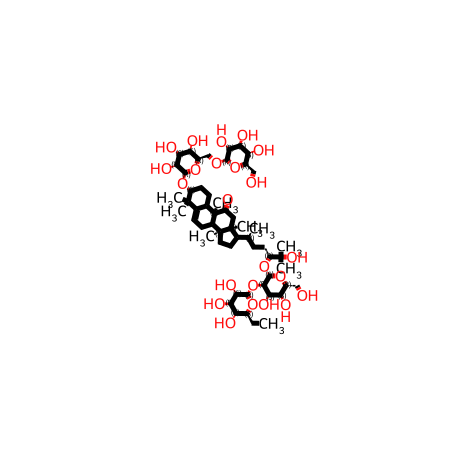 CC[C@@H]1O[C@H](O[C@H]2[C@H](O[C@H](CC[C@@H](C)C3CC[C@@]4(C)C5CC=C6C(CC[C@H](O[C@@H]7O[C@H](CO[C@@H]8O[C@H](CO)[C@@H](O)[C@H](O)[C@H]8O)[C@@H](O)[C@H](O)[C@H]7O)C6(C)C)[C@]5(C)C(=O)C[C@]34C)C(C)(C)O)O[C@H](CO)[C@@H](O)[C@@H]2O)[C@@H](O)[C@H](O)[C@H]1O